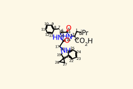 CC(C)CC(NC(=O)[C@@H](Cc1ccccc1)NC(=O)CNCC1(c2ccccc2)CC1)C(=O)O